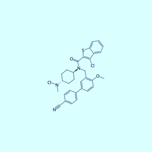 COc1ccc(-c2ccc(C#N)cc2)cc1CN(C(=O)c1sc2ccccc2c1Cl)[C@H]1CC[C@H](N(C)Cl)CC1